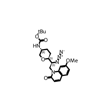 COc1ccc2ccc(=O)n(C[C@H](N=[N+]=[N-])[C@@H]3CC[C@@H](NC(=O)OC(C)(C)C)CO3)c2c1